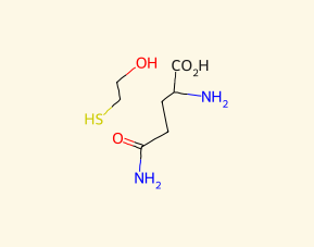 NC(=O)CCC(N)C(=O)O.OCCS